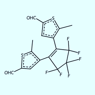 Cc1sc(C=O)cc1C1=C(c2cc(C=O)sc2C)C(F)(F)C(F)(F)C1(F)F